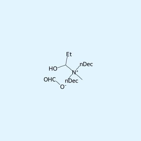 CCCCCCCCCC[N+](C)(CCCCCCCCCC)C(O)CC.O=C[O-]